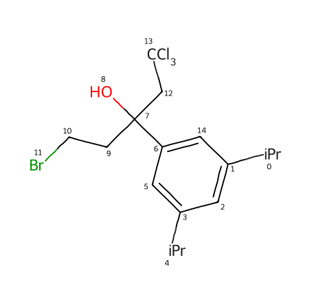 CC(C)c1cc(C(C)C)cc(C(O)(CCBr)CC(Cl)(Cl)Cl)c1